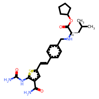 CC(C)C[C@H](NCc1ccc(C=Cc2cc(C(N)=O)c(NC(N)=O)s2)cc1)C(=O)OC1CCCC1